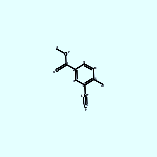 [C-]#[N+]c1cc(C(=O)OC)ccc1C